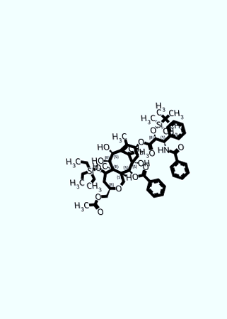 CC[Si](CC)(CC)OC1C[C@H](COC(C)=O)OC[C@H]2[C@H](OC(=O)c3ccccc3)[C@]3(O)C[C@H](OC(=O)[C@H](O[Si](C)(C)C(C)(C)C)[C@@H](NC(=O)c4ccccc4)c4ccccc4)C(C)=C([C@H](O)[C@H](O)[C@]12C)C3(C)C